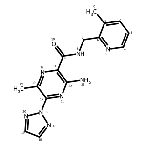 Cc1cccnc1CNC(=O)c1nc(C)c(-n2nccn2)nc1N